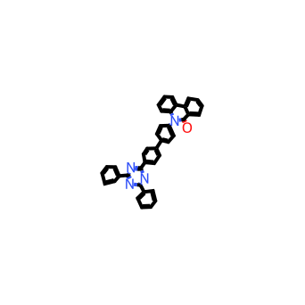 O=c1c2ccccc2c2ccccc2n1-c1ccc(-c2ccc(-c3nc(-c4ccccc4)nc(-c4ccccc4)n3)cc2)cc1